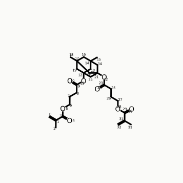 C=C(C)C(=O)OCCCC(=O)OC12CC3(C)CC(C)(C1)CC(OC(=O)CCCOC(=O)C(=C)C)(C3)C2